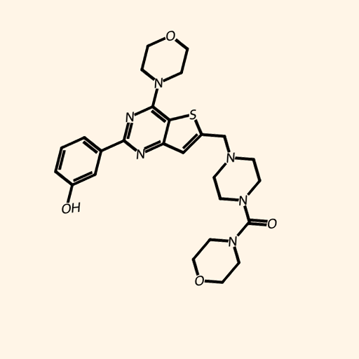 O=C(N1CCOCC1)N1CCN(Cc2cc3nc(-c4cccc(O)c4)nc(N4CCOCC4)c3s2)CC1